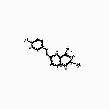 CC(=O)c1ccc(CCc2cnc3nc(N)nc(N)c3n2)cc1